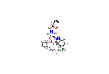 CCOC(=O)Cc1ccccc1OCc1c2cc(Br)ccc2nn1[C@H]1CCN(CC(=O)OC(C)(C)C)C1